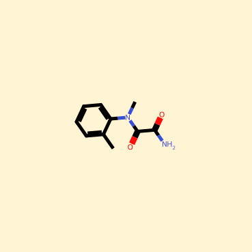 Cc1ccccc1N(C)C(=O)C(N)=O